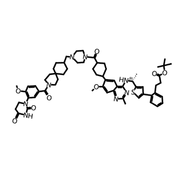 COc1cc2nc(C)nc(N[C@H](C)c3cc(-c4ccccc4CCC(=O)OC(C)(C)C)cs3)c2cc1C1CCC(C(=O)N2CCN(CC3CCC4(CC3)CCN(C(=O)c3ccc(OC)c(N5CCC(=O)NC5=O)c3)CC4)CC2)CC1